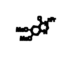 CCCn1cnc2cc(OC)c(OC)cc2c1=O